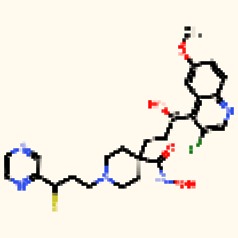 COc1ccc2ncc(Cl)c([C@H](O)CCC3(C(=O)NO)CCN(CCC(=S)c4cnccn4)CC3)c2c1